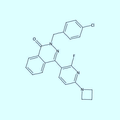 O=c1c2ccccc2c(-c2ccc(N3CCC3)nc2F)nn1Cc1ccc(Cl)cc1